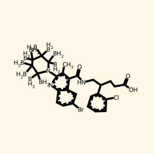 BC1(B)N(c2nc3ccc(Br)cc3c(C(=O)NCC(CCC(=O)O)c3ccccc3Cl)c2C)C(B)(B)C(B)(B)C(B)(B)C1(B)B